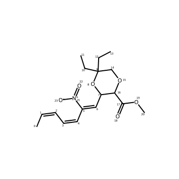 C\C=C/C=C\C(=C\C1OC(CC)(CC)COC1C(=O)OC)[N+](=O)[O-]